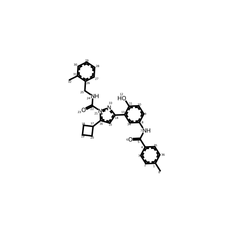 Cc1ccc(C(=O)Nc2ccc(O)c(-c3cc(C4CCC4)n(C(=O)NCc4ccccc4C)n3)c2)cc1